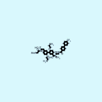 CNCC(=O)NC(Cc1ccc(OCCN)c(-c2cc(C(C=O)N(C)C(=O)CNC(=O)c3ccc(-c4ccc(C(F)(F)F)cc4)cc3)ccc2OCCN)c1)C(=O)O